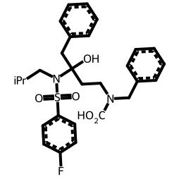 CC(C)CN(C(O)(CCN(Cc1ccccc1)C(=O)O)Cc1ccccc1)S(=O)(=O)c1ccc(F)cc1